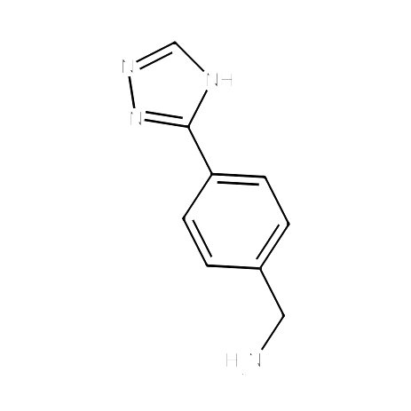 NCc1ccc(-c2nn[c][nH]2)cc1